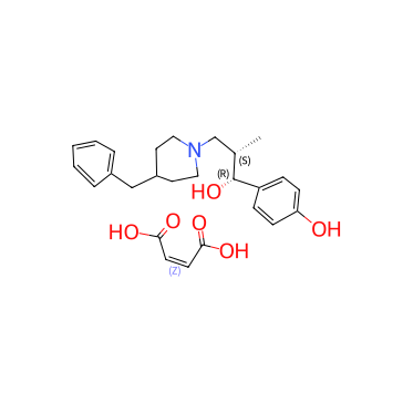 C[C@@H](CN1CCC(Cc2ccccc2)CC1)[C@@H](O)c1ccc(O)cc1.O=C(O)/C=C\C(=O)O